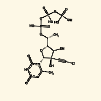 Cc1cc(=O)[nH]c(=O)n1[C@@H]1O[C@H]([C@@H](C)OP(=O)(O)OP(=O)(O)OP(=O)(O)O)C(O)[C@]1(O)C#CCl